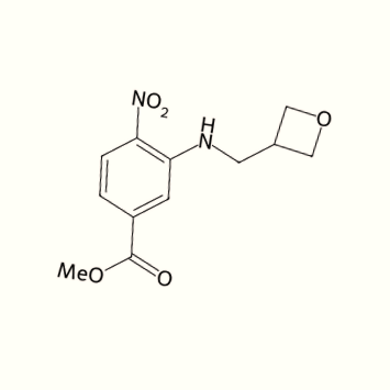 COC(=O)c1ccc([N+](=O)[O-])c(NCC2COC2)c1